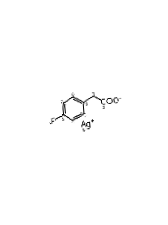 O=C([O-])Cc1ccc(F)cc1.[Ag+]